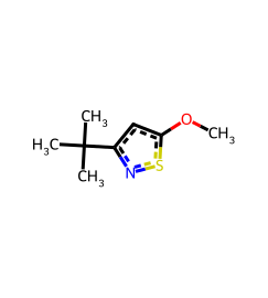 COc1cc(C(C)(C)C)ns1